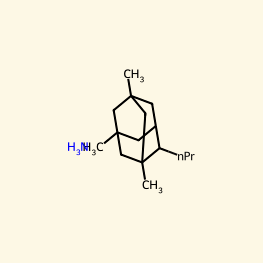 CCCC1C2CC3(C)CC(C)(C2)CC1(C)C3.N